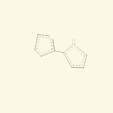 c1c[nH]c(-c2ccco2)c1